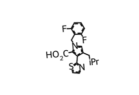 CC(C)Cc1cn(Cc2c(F)cccc2F)c(C(=O)O)c1-c1nccs1